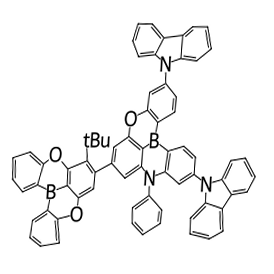 CC(C)(C)c1c(-c2cc3c4c(c2)N(c2ccccc2)c2cc(-n5c6ccccc6c6ccccc65)ccc2B4c2ccc(-n4c5ccccc5c5ccccc54)cc2O3)cc2c3c1Oc1ccccc1B3c1ccccc1O2